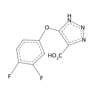 O=C(O)c1nn[nH]c1Oc1ccc(F)c(F)c1